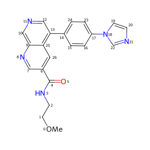 COCCNC(=O)c1cnc2cncc(-c3ccc(-n4ccnc4)cc3)c2c1